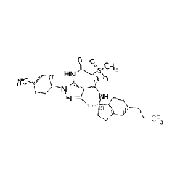 CS(=O)(=O)CC(=O)Nc1c2c(nn1-c1ccc(C#N)cn1)C[C@]1(CCc3cc(CCC(F)(F)F)ccc31)NC2=O